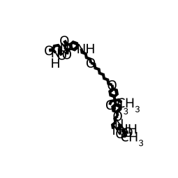 CCC(CC)(c1ccc(OCCCCCCCCOCCCCNc2ccc3c(c2)C(=O)N(C2CCC(=O)NC2=O)C3=O)cc1)c1ccc(OCc2ccnc(NS(C)(=O)=O)n2)cc1